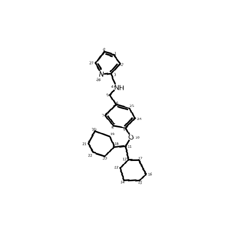 c1ccc(NCc2ccc(OC(C3CCCCC3)C3CCCCC3)cc2)nc1